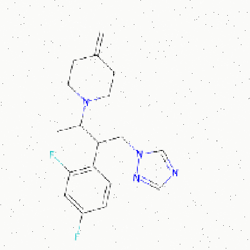 C=C1CCN(C(C)C(Cn2cncn2)c2ccc(F)cc2F)CC1